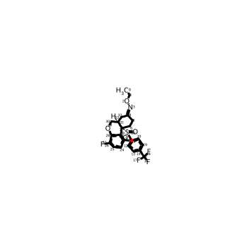 CCO/N=C1/CC[C@@]2(S(=O)(=O)c3ccc(C(F)(F)F)cc3)c3c(F)ccc(F)c3OC[C@H]2C1